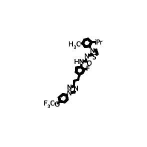 Cc1ccc(C(C)C)c(-n2ccs/c2=N\C(=O)Nc2ccc(CCc3ncn(-c4ccc(OC(F)(F)F)cc4)n3)cc2F)c1